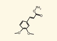 COc1ccc(/C=C/C(=O)OP)cc1OC